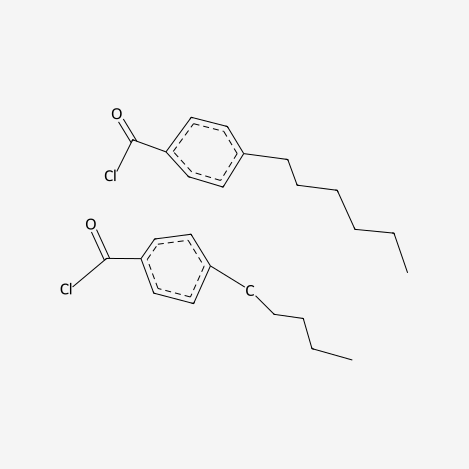 CCCCCCc1ccc(C(=O)Cl)cc1.CCCCCc1ccc(C(=O)Cl)cc1